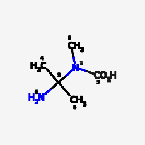 CN(C(=O)O)C(C)(C)N